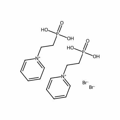 O=P(O)(O)CC[n+]1ccccc1.O=P(O)(O)CC[n+]1ccccc1.[Br-].[Br-]